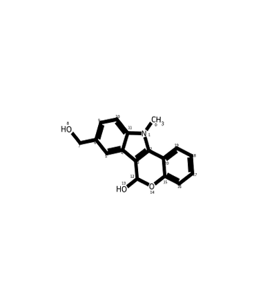 Cn1c2c(c3cc(CO)ccc31)C(O)Oc1ccccc1-2